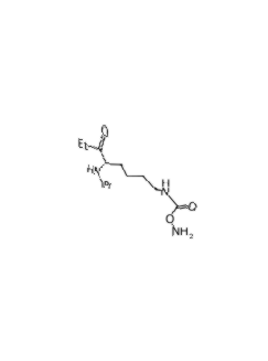 CCC(=O)C(CCCCNC(=O)ON)NC(C)C